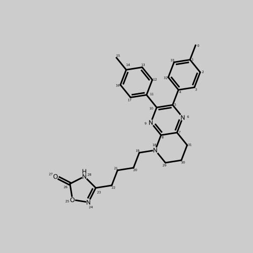 Cc1ccc(-c2nc3c(nc2-c2ccc(C)cc2)N(CCCCc2noc(=O)[nH]2)CCC3)cc1